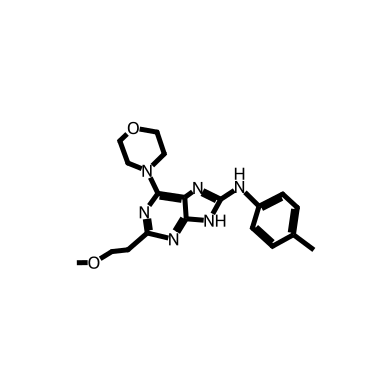 COCCc1nc(N2CCOCC2)c2nc(Nc3ccc(C)cc3)[nH]c2n1